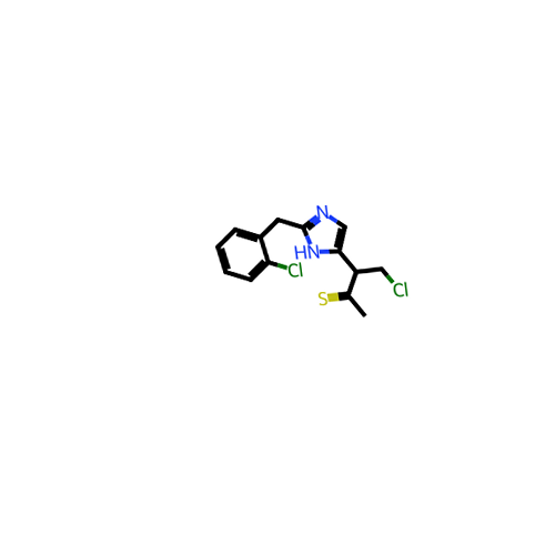 CC(=S)C(CCl)c1cnc(Cc2ccccc2Cl)[nH]1